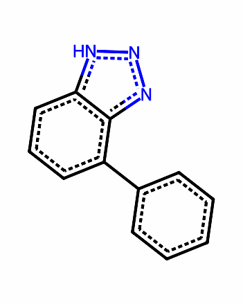 c1ccc(-c2cccc3[nH]nnc23)cc1